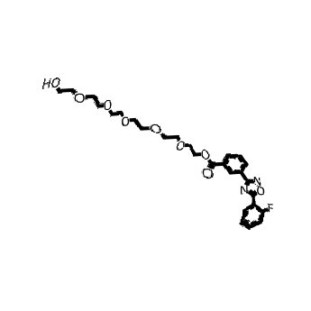 O=C(OCCOCCOCCOCCOCCOCCO)c1cccc(-c2noc(-c3ccccc3F)n2)c1